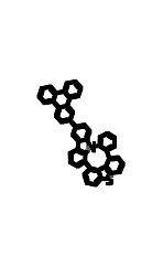 c1ccc2c(c1)c1ccccc1c1cc(-c3ccc4c(c3)c3cccc5c6cccc7sc8cccc(c9ccccc9n4c53)c8c76)ccc21